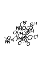 Cc1nnc([C@H]2CC[C@H](NC(=O)c3nc(=O)c4cc(Cl)ccc4n3OC(=O)CC(O)(CC(=O)O)C(=O)O)[C@@H](NC(=O)c3nc4c(s3)CN(C)CC4)C2)o1